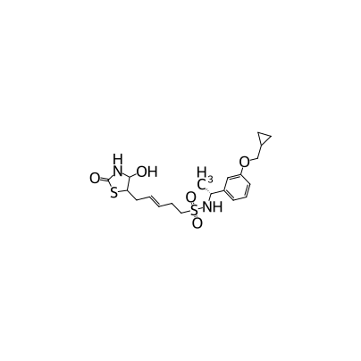 C[C@@H](NS(=O)(=O)CC/C=C/CC1SC(=O)NC1O)c1cccc(OCC2CC2)c1